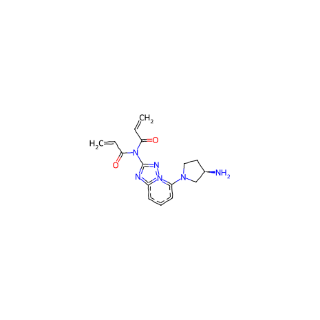 C=CC(=O)N(C(=O)C=C)c1nc2cccc(N3CC[C@@H](N)C3)n2n1